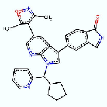 Cc1noc(C)c1-c1cnc2c(c1)c(-c1ccc3c(c1)C=NC3=O)cn2C(c1ccccn1)C1CCCC1